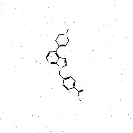 CN1CC=C(c2ccnc3c2ccn3Cc2ccc(C(=O)NO)cc2)CC1